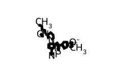 CCCCCN(C=O)C1CCCN(c2ccc(C#N)c3c2cc(C2=CCN([S+](C)[O-])CC2)n3SI)C1